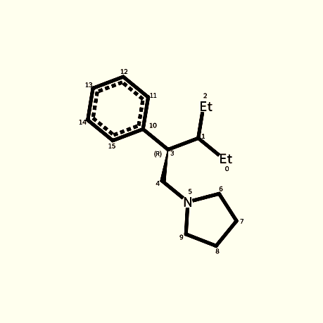 CCC(CC)[C@@H](CN1CCCC1)c1ccccc1